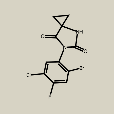 O=C1NC2(CC2)C(=O)N1c1cc(Cl)c(F)cc1Br